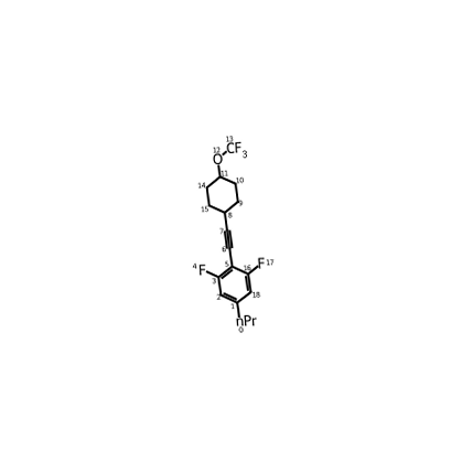 CCCc1cc(F)c(C#CC2CCC(OC(F)(F)F)CC2)c(F)c1